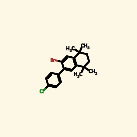 CC1(C)CCC(C)(C)c2cc(-c3ccc(Cl)cc3)c(Br)cc21